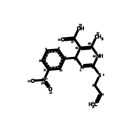 C=CCSC1=NC(c2cccc([N+](=O)[O-])c2)C(C(=O)O)=C(C)N1